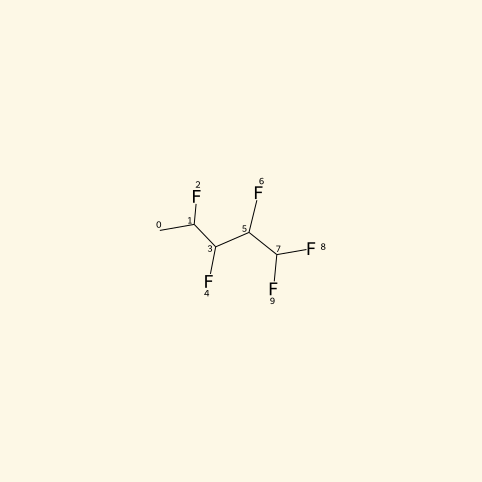 CC(F)C(F)C(F)C(F)F